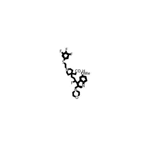 COc1ccc2ncc(CN3CCOCC3)c(C(F)CCC3(CC(=O)O)CCN(CCSc4cc(F)c(F)c(F)c4)CC3)c2c1